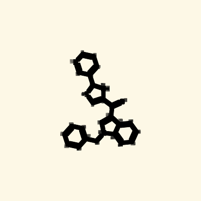 O=C(C1=CSC(c2cccnc2)N1)c1cn(Cc2ccccc2)c2ccccc12